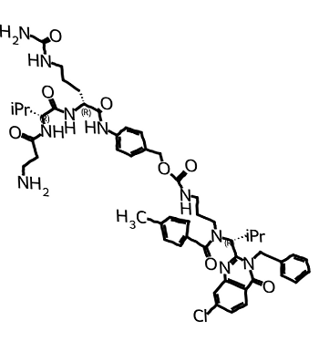 Cc1ccc(C(=O)N(CCCNC(=O)OCc2ccc(NC(=O)[C@@H](CCCNC(N)=O)NC(=O)[C@H](NC(=O)CCN)C(C)C)cc2)[C@@H](c2nc3cc(Cl)ccc3c(=O)n2Cc2ccccc2)C(C)C)cc1